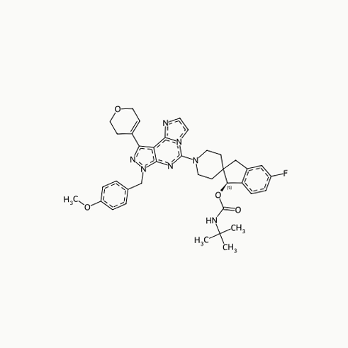 COc1ccc(Cn2nc(C3=CCOCC3)c3c2nc(N2CCC4(CC2)Cc2cc(F)ccc2[C@H]4OC(=O)NC(C)(C)C)n2ccnc32)cc1